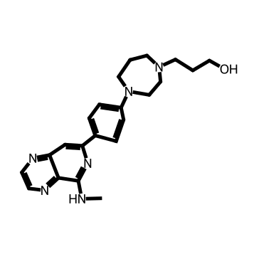 CNc1nc(-c2ccc(N3CCCN(CCCO)CC3)cc2)cc2nccnc12